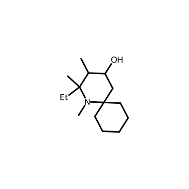 CCC1(C)C(C)C(O)CC2(CCCCC2)N1C